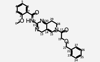 COc1ccccc1C(=O)NC1=NCC2=CN(C(=O)COCc3ccccc3)CCC2=N1